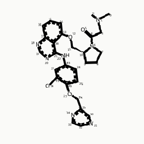 CN(C)CC(=O)N1CCC[C@H]1COc1cccc2ncnc(Nc3ccc(OCc4cnccn4)c(Cl)c3)c12